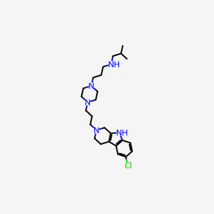 CC(C)CNCCCN1CCN(CCCN2CCc3c([nH]c4ccc(Cl)cc34)C2)CC1